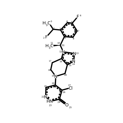 CC(F)c1cc(F)ccc1[C@H](C)n1nnc2c1CCN(c1cn[nH]c(=O)c1Cl)C2